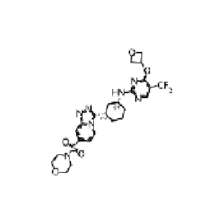 O=S(=O)(c1ccn2c([C@H]3CCC[C@@H](Nc4ncc(C(F)(F)F)c(OC5COC5)n4)C3)nnc2c1)N1CCOCC1